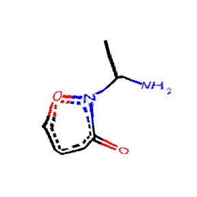 CC(N)n1occc1=O